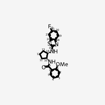 COc1ccccc1C(=O)N[C@@H]1CCC[C@H]1Nc1nc2ccc(F)cc2s1